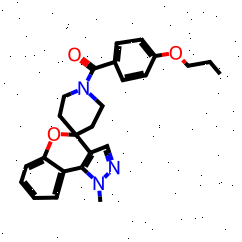 CCCOc1ccc(C(=O)N2CCC3(CC2)Oc2ccccc2-c2c3cnn2C)cc1